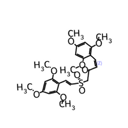 COc1cc(OC)c(C=CS(=O)(=O)CC(=O)/C=C\c2c(OC)cc(OC)cc2OC)c(OC)c1